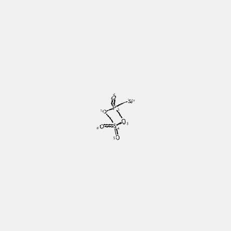 O=P1([Si])OS(=O)(=O)O1